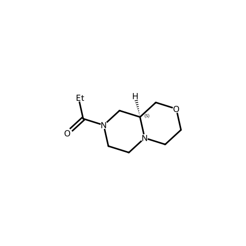 CCC(=O)N1CCN2CCOC[C@@H]2C1